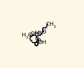 CC/C=C\C=C/C(=O)N/C=C\CC1CC(O)C(C)C/C=C/Cc2cccc(O)c2C(=O)O1